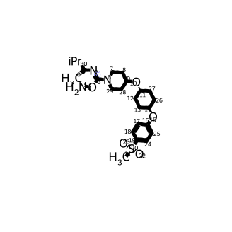 C=C(/N=C(\ON)N1CCC(O[C@H]2CC[C@H](Oc3ccc(S(C)(=O)=O)cc3)CC2)CC1)C(C)C